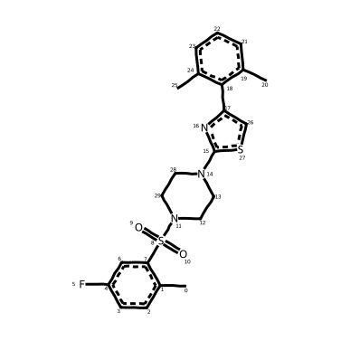 Cc1ccc(F)cc1S(=O)(=O)N1CCN(c2nc(-c3c(C)cccc3C)cs2)CC1